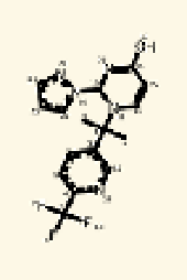 CC(C)(c1ccc(C(F)(F)F)nc1)N1C=CC(O)=NC1n1cccn1